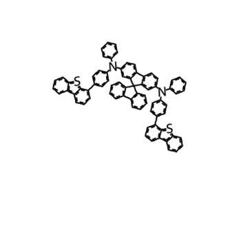 c1ccc(N(c2ccc(-c3cccc4c3sc3ccccc34)cc2)c2ccc3c(c2)C2(c4ccccc4-c4ccccc42)c2cc(N(c4ccccc4)c4ccc(-c5cccc6c5sc5ccccc56)cc4)ccc2-3)cc1